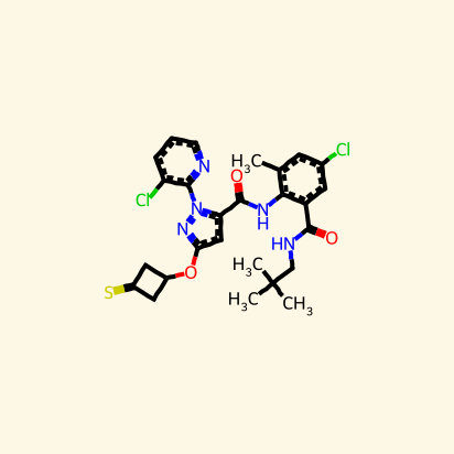 Cc1cc(Cl)cc(C(=O)NCC(C)(C)C)c1NC(=O)c1cc(OC2CC(=S)C2)nn1-c1ncccc1Cl